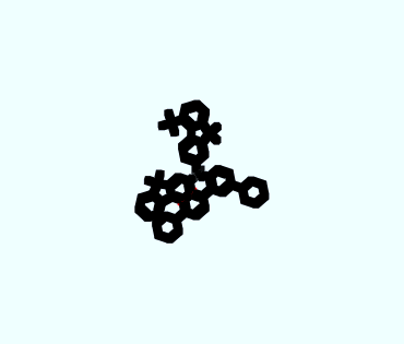 CC(C)(C)c1cccc2c1-c1ccc(N(c3ccc4c(c3)C(C)(C)c3ccccc3-4)c3ccc(C4CCCCC4)cc3-c3ccc(C4CCCCC4)cc3)cc1C2(C)C